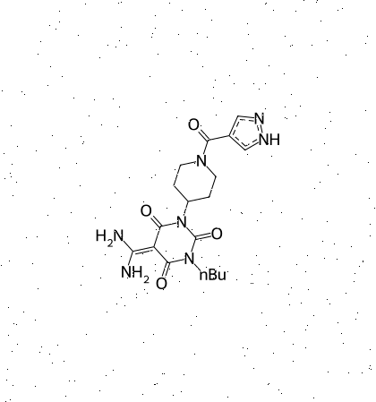 CCCCN1C(=O)C(=C(N)N)C(=O)N(C2CCN(C(=O)c3cn[nH]c3)CC2)C1=O